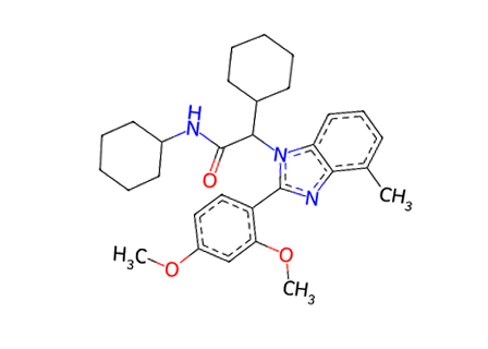 COc1ccc(-c2nc3c(C)cccc3n2C(C(=O)NC2CCCCC2)C2CCCCC2)c(OC)c1